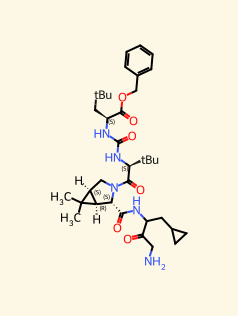 CC(C)(C)C[C@H](NC(=O)N[C@H](C(=O)N1C[C@H]2[C@@H]([C@H]1C(=O)NC(CC1CC1)C(=O)CN)C2(C)C)C(C)(C)C)C(=O)OCc1ccccc1